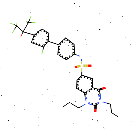 CCCn1c(=O)c2cc(S(=O)(=O)Nc3ccc(-c4ccc(C(O)(C(F)(F)F)C(F)(F)F)cc4F)cc3)ccc2n(CCC)c1=O